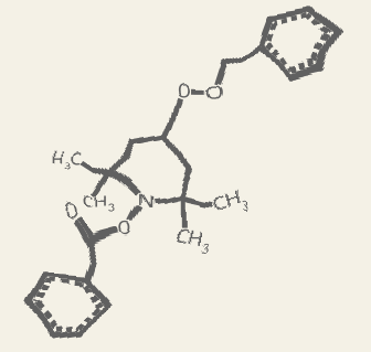 CC1(C)CC(OOCc2ccccc2)CC(C)(C)N1OC(=O)c1ccccc1